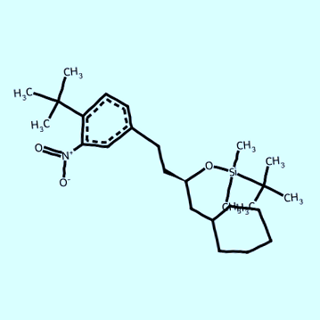 CC(C)(C)c1ccc(CC[C@H](CC2CCCCC2)O[Si](C)(C)C(C)(C)C)cc1[N+](=O)[O-]